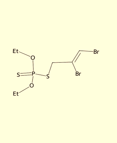 CCOP(=S)(OCC)SC/C(Br)=C/Br